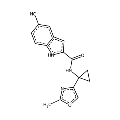 Cc1nc(C2(NC(=O)c3cc4cc(C#N)ccc4[nH]3)CC2)co1